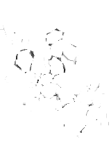 COCOc1cccc(F)c1-c1nc2c(cc1F)c1c(c(=O)n2-c2ccccc2C(C)C)N(C)C[C@H]2CN(C(=O)OC(C)(C)C)[C@H](C)CN12